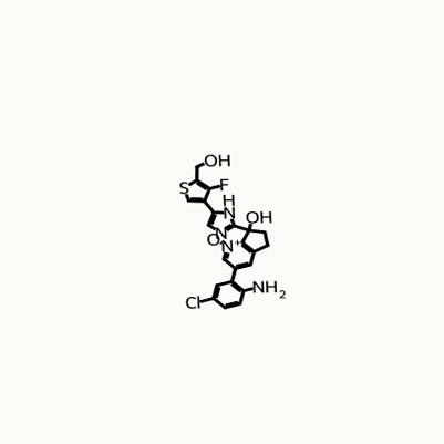 Nc1ccc(Cl)cc1-c1cc2c([n+]([O-])c1)C(O)(c1ncc(-c3csc(CO)c3F)[nH]1)CC2